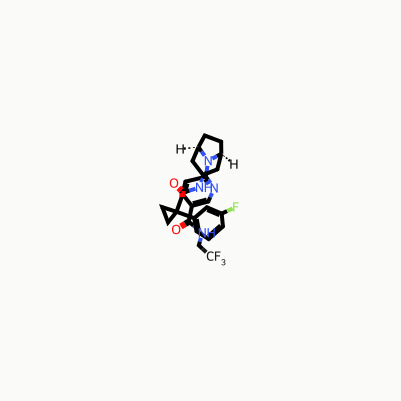 O=C(NCC(F)(F)F)c1ccc(N2[C@@H]3CC[C@H]2C[C@@H](NC(=O)C2(c4cccc(F)c4)CC2)C3)nc1